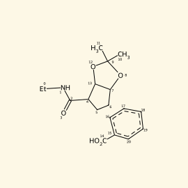 CCNC(=O)C1CCC2OC(C)(C)OC21.O=C(O)c1ccccc1